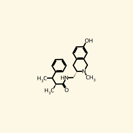 CC(c1ccccc1)[C@H](C)C(=O)NC[C@@H]1Cc2ccc(O)cc2CN1C